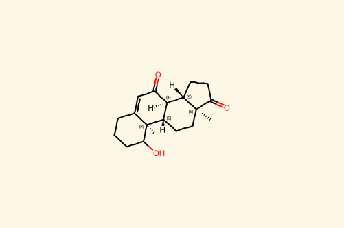 C[C@]12CC[C@H]3[C@@H](C(=O)C=C4CCCC(O)[C@@]43C)[C@@H]1CCC2=O